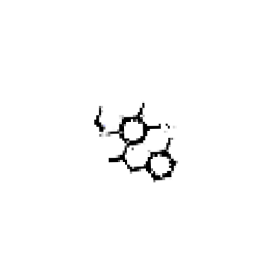 C=C(Cc1cccc(C)c1)c1cc(OC)c(C)cc1/N=C\C